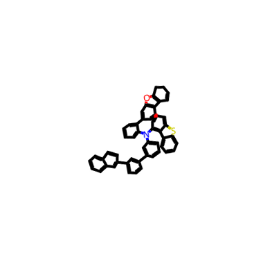 C1=Cc2c(oc3cc(-c4ccccc4N(c4cccc(-c5cccc(-c6ccc7ccccc7c6)c5)c4)c4cccc5sc6ccccc6c45)ccc23)CC1